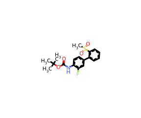 CC(C)(C)OC(=O)Nc1ccc(-c2ccccc2S(C)(=O)=O)cc1F